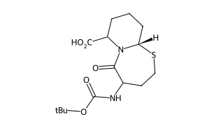 CC(C)(C)OC(=O)NC1CCS[C@H]2CCCC(C(=O)O)N2C1=O